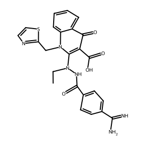 CCN(NC(=O)c1ccc(C(=N)N)cc1)c1c(C(=O)O)c(=O)c2ccccc2n1Cc1nccs1